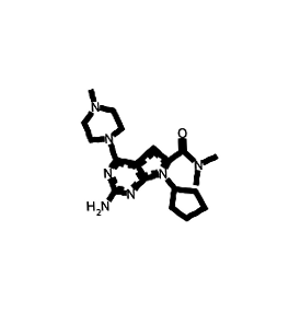 CN1CCN(c2nc(N)nc3c2cc(C(=O)N(C)C)n3C2CCCC2)CC1